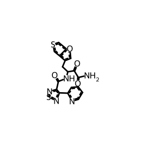 NC(=O)C(=O)C(Cc1coc2cscc12)NC(=O)c1nsnc1-c1ccccn1